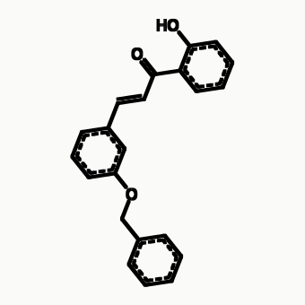 O=C(C=Cc1cccc(OCc2ccccc2)c1)c1ccccc1O